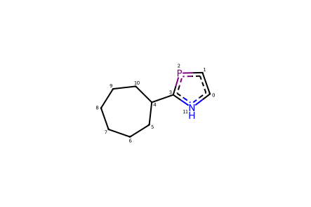 c1cpc(C2CCCCCC2)[nH]1